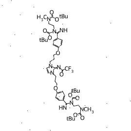 CN(CCN(C(=N)c1ccc(OCCCn2ccn(CCCOc3ccc(C(=N)N(CCN(C)C(=O)OC(C)(C)C)C(=O)OC(C)(C)C)cc3)c2=NC(=O)C(F)(F)F)cc1)C(=O)OC(C)(C)C)C(=O)OC(C)(C)C